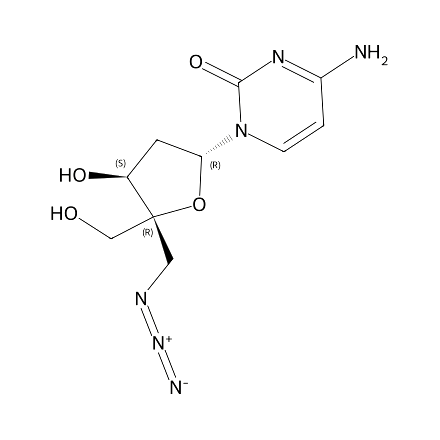 [N-]=[N+]=NC[C@]1(CO)O[C@@H](n2ccc(N)nc2=O)C[C@@H]1O